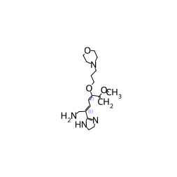 C=C(OC)/C(=C\C=C(/CN)C1=NCCN1)OCCCN1CCOCC1